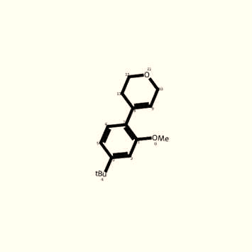 COc1cc(C(C)(C)C)ccc1C1=CCOCC1